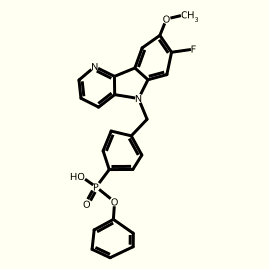 COc1cc2c3ncccc3n(Cc3ccc(P(=O)(O)Oc4ccccc4)cc3)c2cc1F